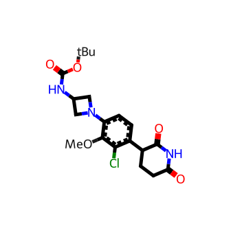 COc1c(N2CC(NC(=O)OC(C)(C)C)C2)ccc(C2CCC(=O)NC2=O)c1Cl